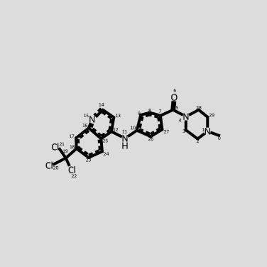 CN1CCN(C(=O)c2ccc(Nc3ccnc4cc(C(Cl)(Cl)Cl)ccc34)cc2)CC1